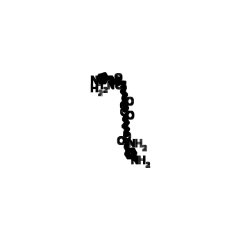 CC(CCCCC(=O)OCOC(=O)CCCCCOC(=O)C(N)Cc1ccc(N)cc1)OC(=O)C(N)Cc1ccc(N)cc1